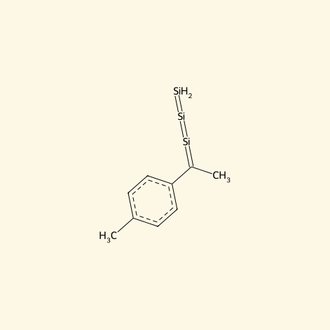 CC(=[Si]=[Si]=[SiH2])c1ccc(C)cc1